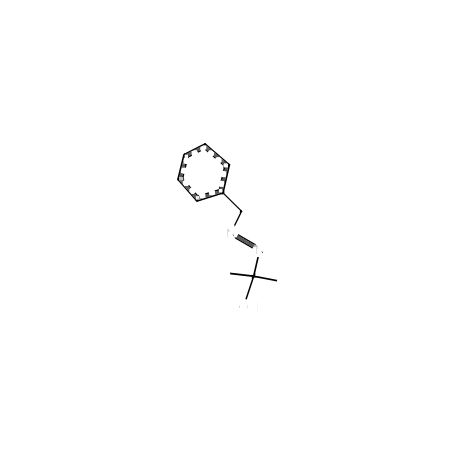 CCC(C)(O)N=NCc1ccccc1